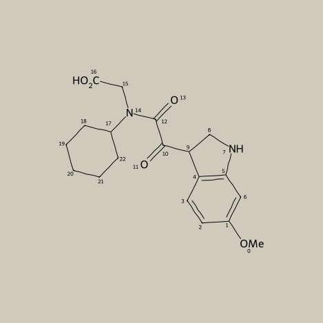 COc1ccc2c(c1)NCC2C(=O)C(=O)N(CC(=O)O)C1CCCCC1